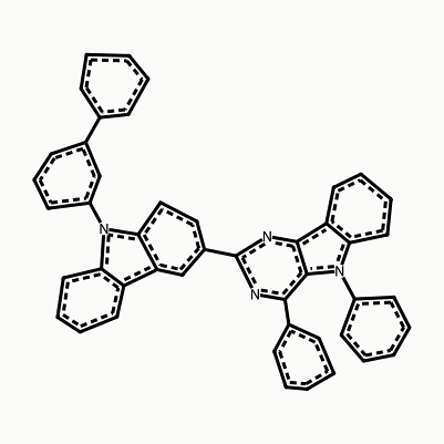 c1ccc(-c2cccc(-n3c4ccccc4c4cc(-c5nc(-c6ccccc6)c6c(n5)c5ccccc5n6-c5ccccc5)ccc43)c2)cc1